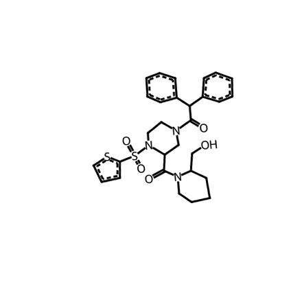 O=C(C(c1ccccc1)c1ccccc1)N1CCN(S(=O)(=O)c2cccs2)C(C(=O)N2CCCCC2CO)C1